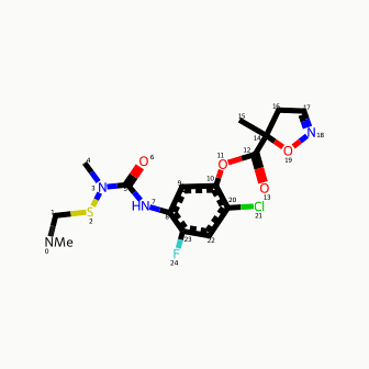 CNCSN(C)C(=O)Nc1cc(OC(=O)C2(C)CC=NO2)c(Cl)cc1F